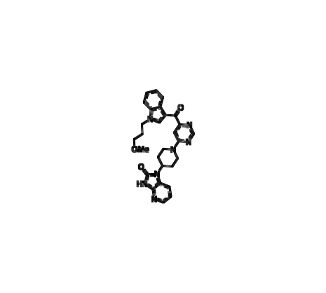 COCCCn1cc(C(=O)c2cc(N3CCC(n4c(=O)[nH]c5ncccc54)CC3)ncn2)c2ccccc21